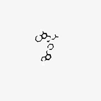 CC(C)CN(Cc1cc(Cl)c2c(c1)CCCCO2)C(=O)[C@@H]1CCCN(Cc2cccc3c2CCN3)C1